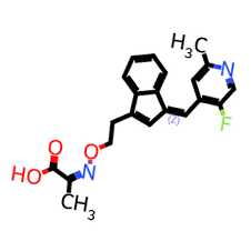 CC(=NOCCC1=C/C(=C/c2cc(C)ncc2F)c2ccccc21)C(=O)O